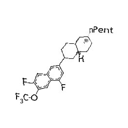 CCCCC[C@@H]1CC[C@@H]2CC(c3cc(F)c4cc(OC(F)(F)F)c(F)cc4c3)CCC2C1